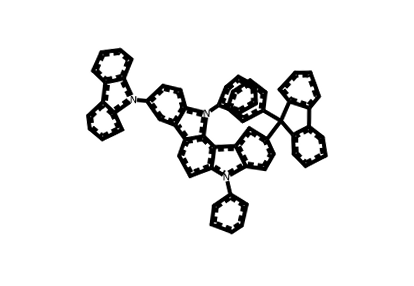 c1ccc(-n2c3ccc(C4(c5ccccc5)c5ccccc5-c5ccccc54)cc3c3c2ccc2c4cc(-n5c6ccccc6c6ccccc65)ccc4n(-c4ccccc4)c23)cc1